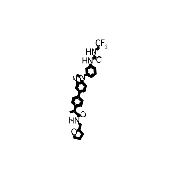 CC(C(=O)NCC1CCCO1)c1ccc(-c2ccc3c(c2)ncn3-c2cccc(NC(=O)NCC(F)(F)F)c2)cc1